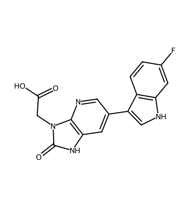 O=C(O)Cn1c(=O)[nH]c2cc(-c3c[nH]c4cc(F)ccc34)cnc21